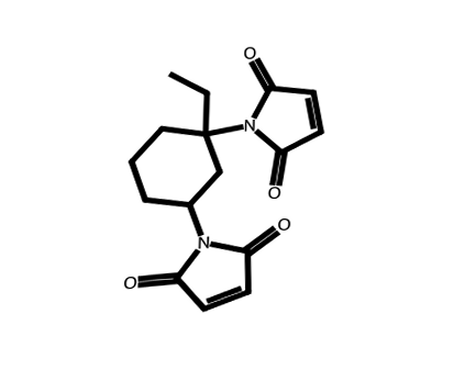 CCC1(N2C(=O)C=CC2=O)CCCC(N2C(=O)C=CC2=O)C1